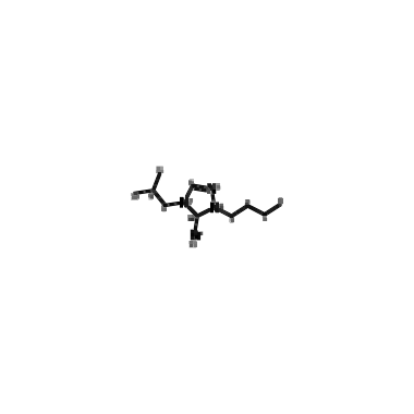 CCCCN1N=CN(CC(C)C)C1Br